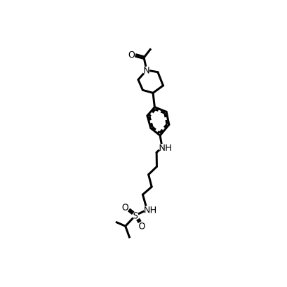 CC(=O)N1CCC(c2ccc(NCCCCCNS(=O)(=O)C(C)C)cc2)CC1